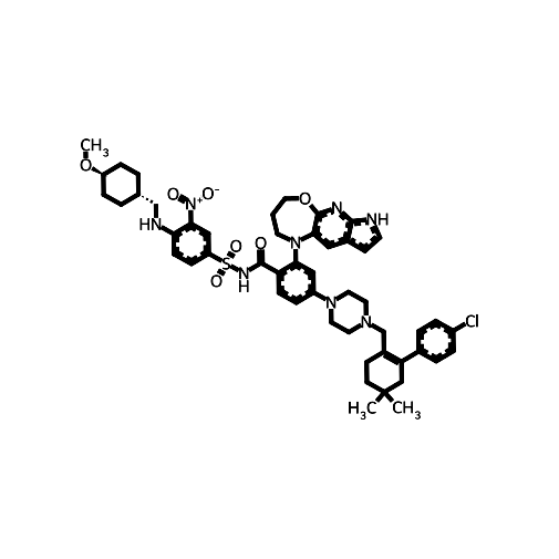 CO[C@H]1CC[C@H](CNc2ccc(S(=O)(=O)NC(=O)c3ccc(N4CCN(CC5=C(c6ccc(Cl)cc6)CC(C)(C)CC5)CC4)cc3N3CCCOc4nc5[nH]ccc5cc43)cc2[N+](=O)[O-])CC1